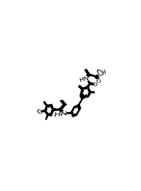 CCC(Nc1cccc(-c2cc(C)c(C(=O)NC(C)C(=O)O)c(C)c2)c1)c1cc(C)c(Cl)c(C)c1